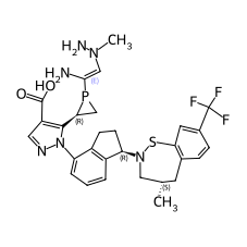 C[C@H]1Cc2ccc(C(F)(F)F)cc2SN([C@@H]2CCc3c2cccc3-n2ncc(C(=O)O)c2[C@@H]2CP2/C(N)=C/N(C)N)C1